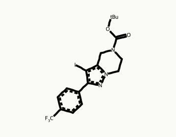 CC(C)(C)OC(=O)N1CCn2nc(-c3ccc(C(F)(F)F)cc3)c(I)c2C1